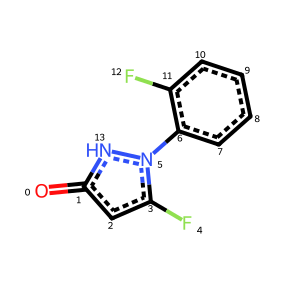 O=c1cc(F)n(-c2ccccc2F)[nH]1